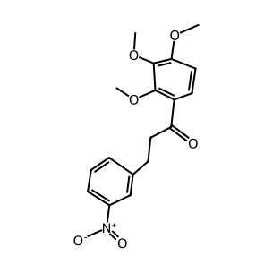 COc1ccc(C(=O)CCc2cccc([N+](=O)[O-])c2)c(OC)c1OC